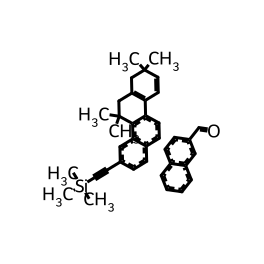 CC1(C)C=CC2=C(C1)CC(C)(C)c1c2ccc2ccc(C#C[Si](C)(C)C)cc12.O=Cc1ccc2ccccc2c1